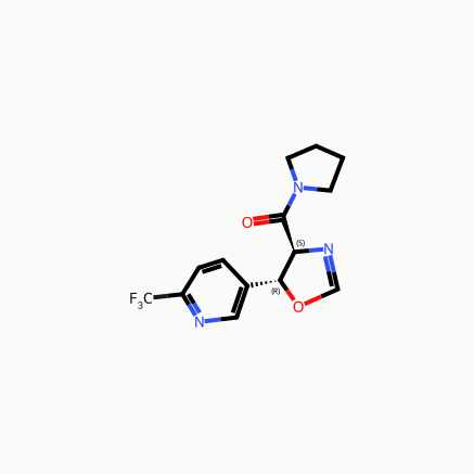 O=C([C@H]1N=CO[C@@H]1c1ccc(C(F)(F)F)nc1)N1CCCC1